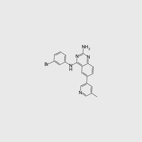 Cc1cncc(-c2ccc3nc(N)nc(Nc4cccc(Br)c4)c3c2)c1